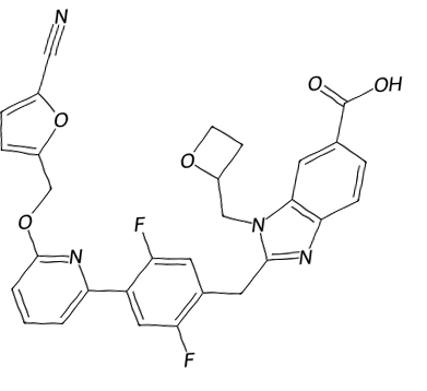 N#Cc1ccc(COc2cccc(-c3cc(F)c(Cc4nc5ccc(C(=O)O)cc5n4CC4CCO4)cc3F)n2)o1